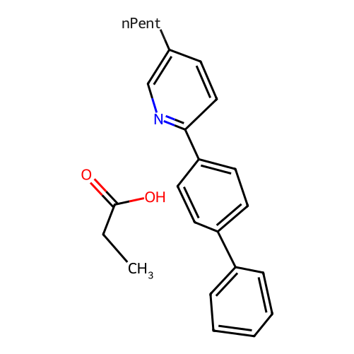 CCC(=O)O.CCCCCc1ccc(-c2ccc(-c3ccccc3)cc2)nc1